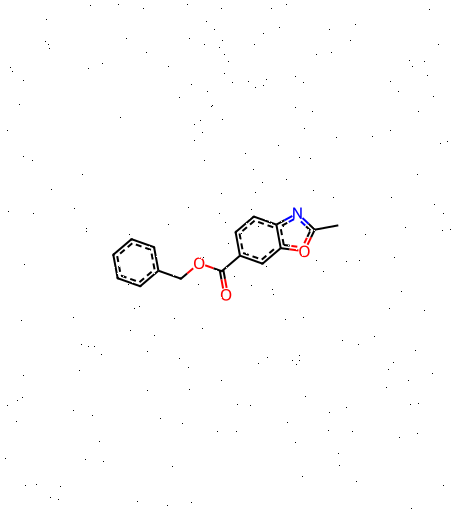 Cc1nc2ccc(C(=O)OCc3ccccc3)cc2o1